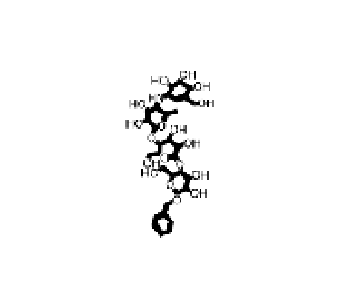 CC1OC(OC2C(CO)OC(OC3C(CO)OC(OCc4ccccc4)C(O)C3O)C(O)C2O)C(O)C(O)C1NC1C=C(CO)C(O)C(O)C1O